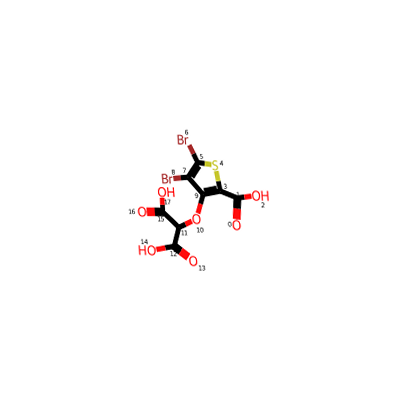 O=C(O)c1sc(Br)c(Br)c1OC(C(=O)O)C(=O)O